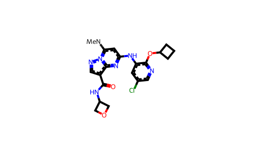 CNc1cc(Nc2cc(Cl)cnc2OC2CCC2)nc2c(C(=O)NC3COC3)cnn12